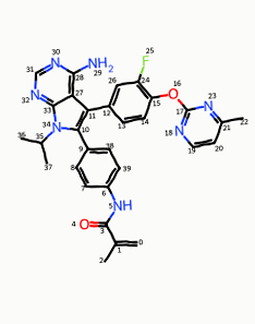 C=C(C)C(=O)Nc1ccc(-c2c(-c3ccc(Oc4nccc(C)n4)c(F)c3)c3c(N)ncnc3n2C(C)C)cc1